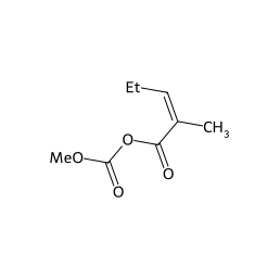 CCC=C(C)C(=O)OC(=O)OC